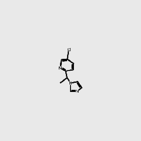 CC(c1ccc(Cl)cn1)n1ccnc1